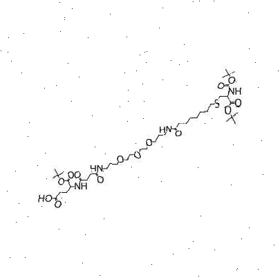 CC(C)(C)OC(=O)NC(CSCCCCCCCC(=O)NCCCOCCOCCOCCCNC(=O)CCC(=O)NC(CCC(=O)O)C(=O)OC(C)(C)C)C(=O)OC(C)(C)C